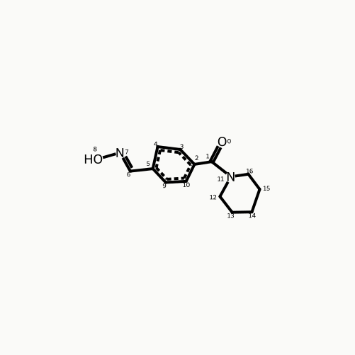 O=C(c1ccc(C=NO)cc1)N1CCCCC1